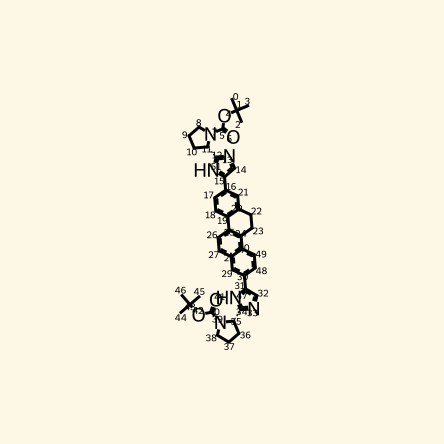 CC(C)(C)OC(=O)N1CCC[C@H]1c1ncc(-c2ccc3c(c2)CCc2c-3ccc3cc(-c4cnc([C@@H]5CCCN5C(=O)OC(C)(C)C)[nH]4)ccc23)[nH]1